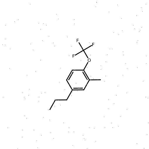 [CH2]CCc1ccc(OC(F)(F)F)c(C)c1